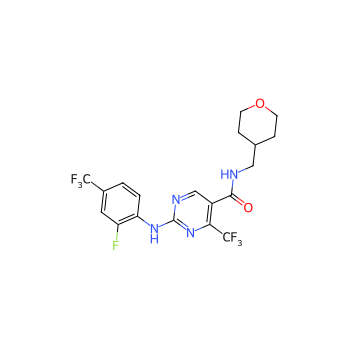 O=C(NCC1CCOCC1)c1cnc(Nc2ccc(C(F)(F)F)cc2F)nc1C(F)(F)F